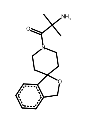 CC(C)(N)C(=O)N1CCC2(CC1)OCc1ccccc12